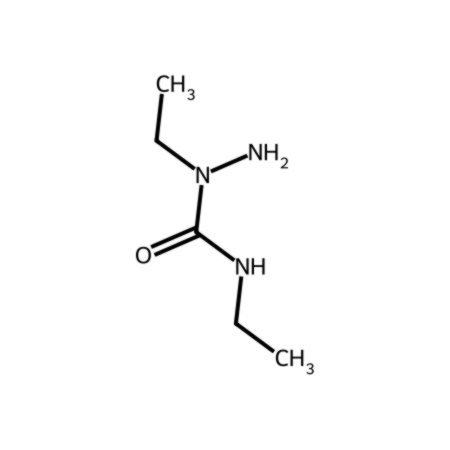 CCNC(=O)N(N)CC